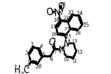 Cc1cccc(CC(=O)N2CCCCN2c2ccc([N+](=O)[O-])c3ccccc23)c1